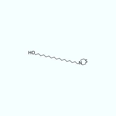 OCCCCCCCCCCCCCCCCCN1CCSCC1